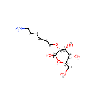 NCCCCCCO[C@@H]1[C@@H](O)[C@H](O)[C@@H](CO)O[C@H]1O